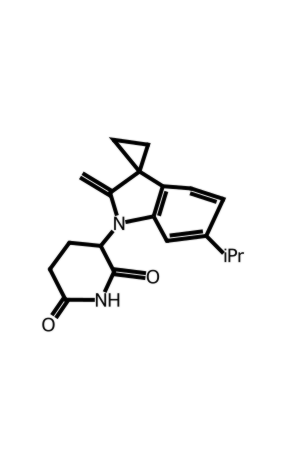 C=C1N(C2CCC(=O)NC2=O)c2cc(C(C)C)ccc2C12CC2